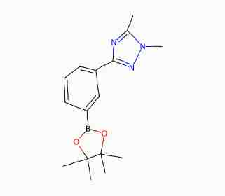 Cc1nc(-c2cccc(B3OC(C)(C)C(C)(C)O3)c2)nn1C